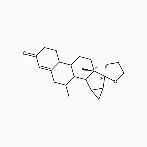 CC1CC2=CC(=O)CCC2C2CC[C@@]3(C)C(C4CC4[C@@]34CCCO4)C12